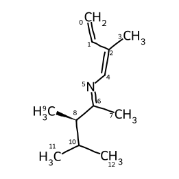 C=C/C(C)=C\N=C(/C)[C@H](C)C(C)C